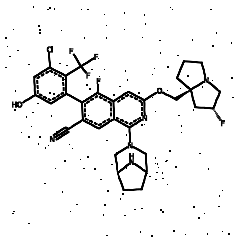 N#Cc1cc2c(N3CC4CCC(C3)N4)nc(OC[C@@]34CCCN3C[C@H](F)C4)cc2c(F)c1-c1cc(O)cc(Cl)c1C(F)(F)F